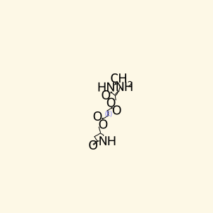 C=C1NC=C(COC(=O)/C=C/C(=O)OCC2CNC(=O)C2)C(=O)N1